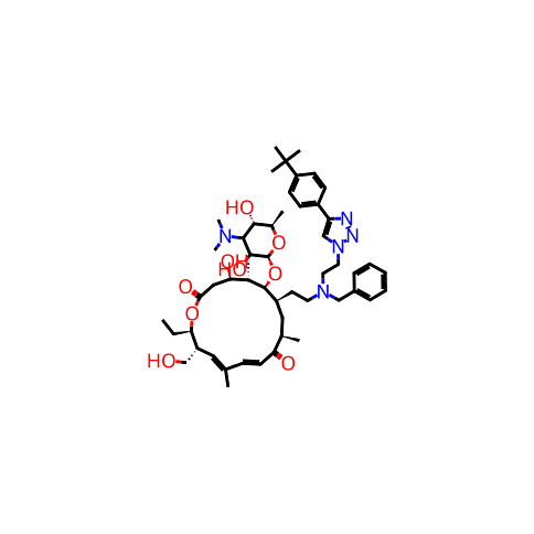 CC[C@H]1OC(=O)C[C@@H](O)[C@H](C)[C@@H](O[C@@H]2O[C@H](C)[C@@H](O)C(N(C)C)C2O)[C@@H](CCN(CCn2cc(-c3ccc(C(C)(C)C)cc3)nn2)Cc2ccccc2)C[C@@H](C)C(=O)/C=C/C(C)=C/[C@@H]1CO